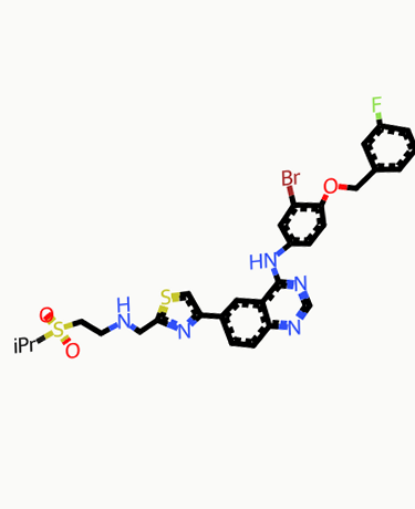 CC(C)S(=O)(=O)CCNCc1nc(-c2ccc3ncnc(Nc4ccc(OCc5cccc(F)c5)c(Br)c4)c3c2)cs1